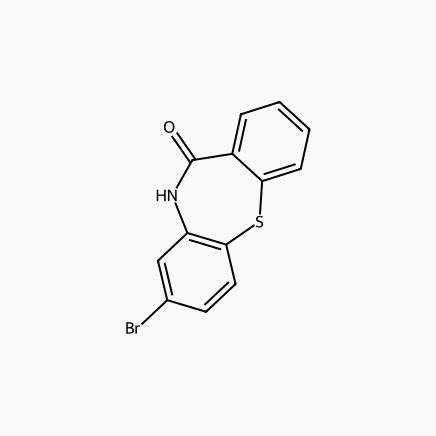 O=C1Nc2cc(Br)ccc2Sc2ccccc21